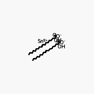 CCCCCCCCC=CCCCCCCC(O)C(=O)[O-].CCCCCCCCC=CCCCCCCC(O)C(=O)[O-].[CH3][Sn+2][CH3]